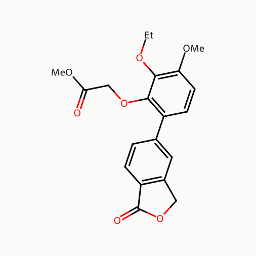 CCOc1c(OC)ccc(-c2ccc3c(c2)COC3=O)c1OCC(=O)OC